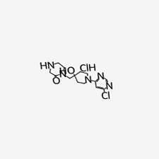 Cl.O=C1CNCCN1CC1(O)CCN(c2cc(Cl)ncn2)CC1